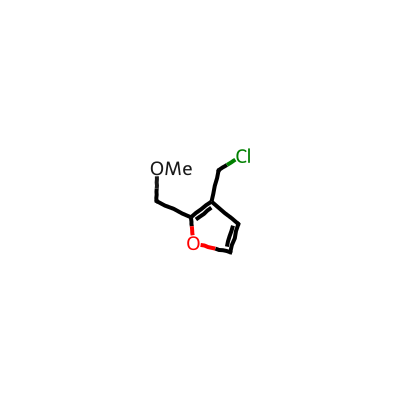 COCc1occc1CCl